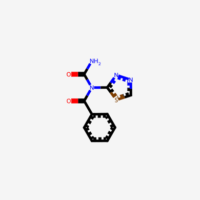 NC(=O)N(C(=O)c1ccccc1)c1nncs1